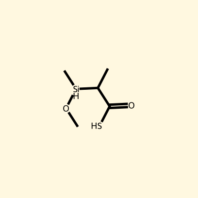 CO[SiH](C)C(C)C(=O)S